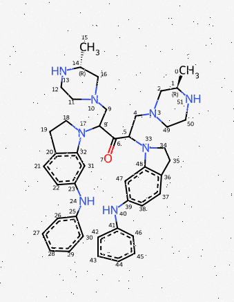 C[C@@H]1CN(CC(C(=O)C(CN2CCN[C@H](C)C2)N2CCc3ccc(Nc4ccccc4)cc32)N2CCc3ccc(Nc4ccccc4)cc32)CCN1